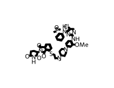 COc1cc(N2CCC(N(C)CCSc3cccc4c3C(=O)N(C3CCC(=O)NC3=O)C4=O)CC2)ccc1Nc1ncc(Cl)c(Nc2ccccc2P(C)(C)=O)n1